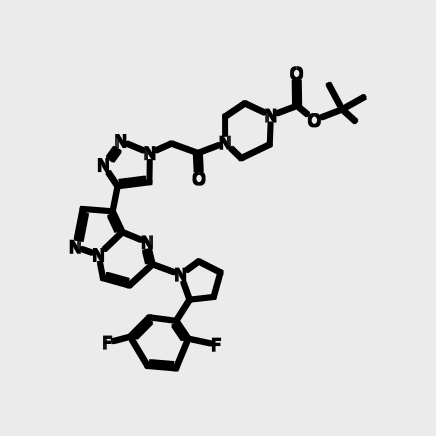 CC(C)(C)OC(=O)N1CCN(C(=O)Cn2cc(-c3cnn4ccc(N5CCCC5c5cc(F)ccc5F)nc34)nn2)CC1